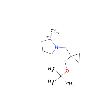 C[C@H]1CCCN1CC1(COC(C)(C)C)CC1